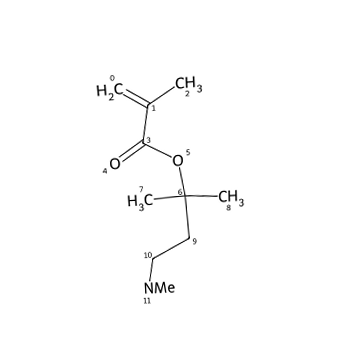 C=C(C)C(=O)OC(C)(C)CCNC